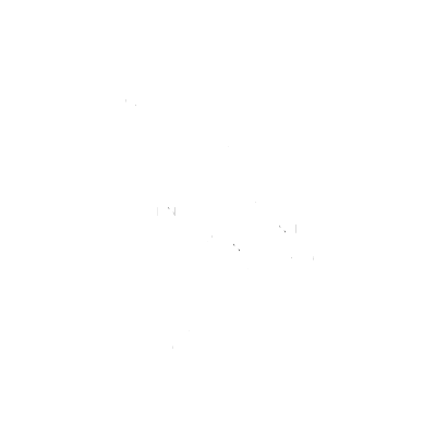 COc1ccc(-c2cc(=O)[nH]c(Sc3c(-c4ccccc4)c4cc(Cl)ccc4[nH]c3=O)n2)cc1